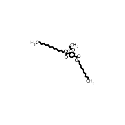 C=CC(=O)OC1(C(=O)OCCCCCCCCCCCCC)CCC(C(=O)OCCCCCCCCCC)CC1